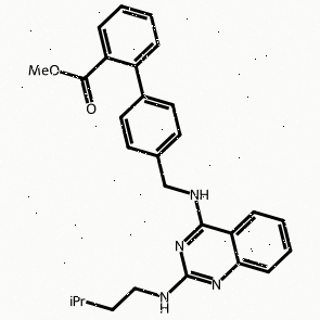 COC(=O)c1ccccc1-c1ccc(CNc2nc(NCCC(C)C)nc3ccccc23)cc1